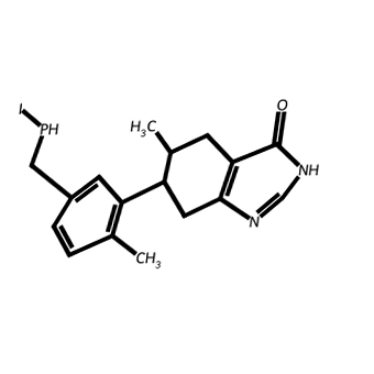 Cc1ccc(CPI)cc1C1Cc2nc[nH]c(=O)c2CC1C